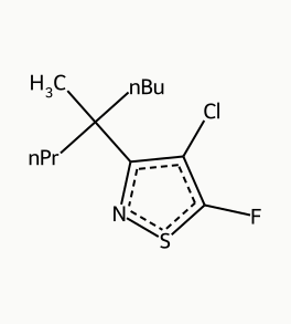 CCCCC(C)(CCC)c1nsc(F)c1Cl